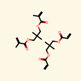 C=C(C)C(=O)OCC(C)(C)COC(=O)C(=C)C.C=CC(=O)OCC(C)(C)COC(=O)C=C